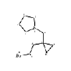 CC(C)(C)SCC1(CN2CCCC2)CC1